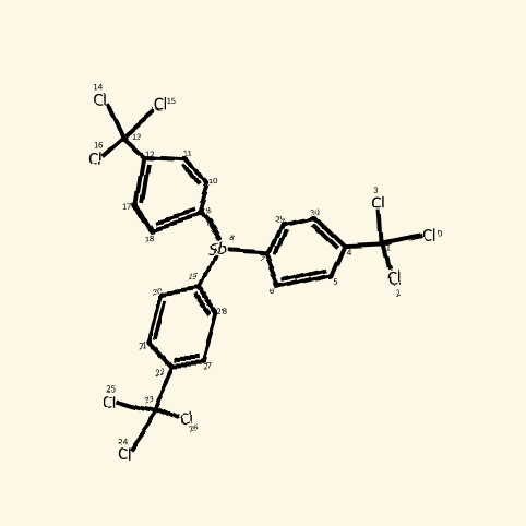 ClC(Cl)(Cl)c1cc[c]([Sb]([c]2ccc(C(Cl)(Cl)Cl)cc2)[c]2ccc(C(Cl)(Cl)Cl)cc2)cc1